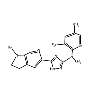 CC(C)N1CCc2cc(-c3nc(N(C)c4ncc(N)cc4C(F)(F)F)n[nH]3)ncc21